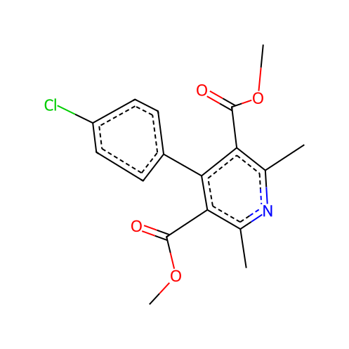 COC(=O)c1c(C)nc(C)c(C(=O)OC)c1-c1ccc(Cl)cc1